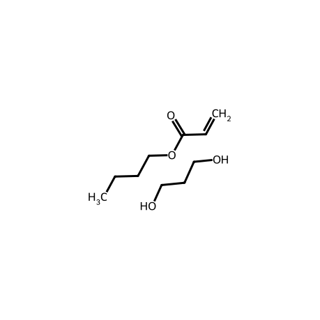 C=CC(=O)OCCCC.OCCCO